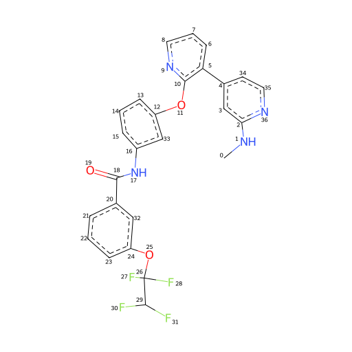 CNc1cc(-c2cccnc2Oc2cccc(NC(=O)c3cccc(OC(F)(F)C(F)F)c3)c2)ccn1